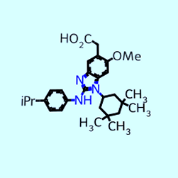 COc1cc2c(cc1CC(=O)O)nc(Nc1ccc(C(C)C)cc1)n2C1CC(C)(C)CC(C)(C)C1